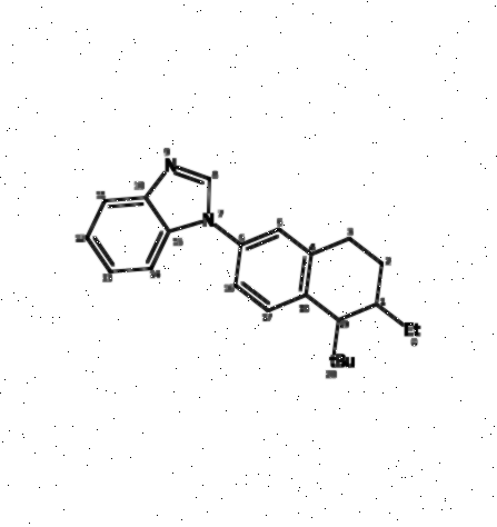 CCC1CCc2cc(-n3cnc4ccccc43)ccc2C1C(C)(C)C